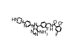 COc1ccc(F)cc1C(=O)NCc1ccc(-c2nn(-c3ccc(N4CCNCC4)nc3)c3ncnc(N)c23)cc1F